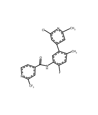 Cc1cc(-c2cc(NC(=O)c3ccnc(C(F)(F)F)c3)c(F)cc2C)cc(Cl)n1